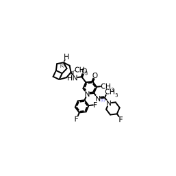 C/C(=N\c1c(C)c(=O)c(C(=O)N[C@@]2(C)CC3CC4C[C@@H](CC43)C2)cn1-c1ccc(F)cc1F)N1CCC(F)CC1